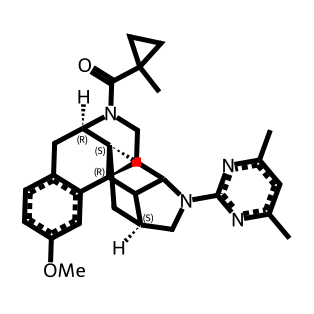 COc1ccc2c(c1)[C@]13CCN(C(=O)C4(C)CC4)[C@H](C2)[C@]12CCC1C3[C@@H](CN1c1nc(C)cc(C)n1)C2